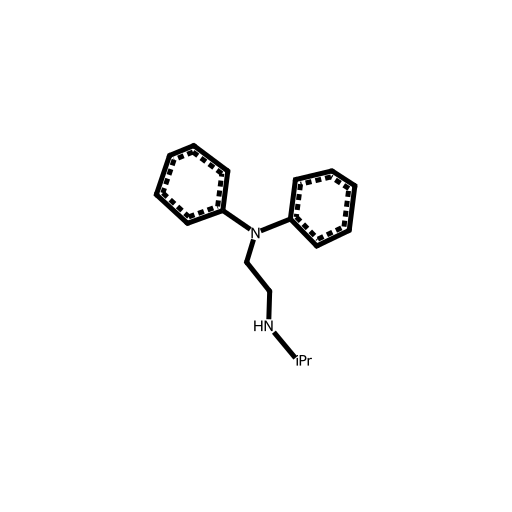 CC(C)NCCN(c1ccccc1)c1ccccc1